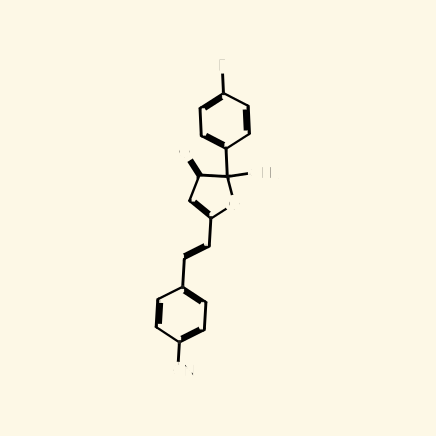 CC1(c2ccc(F)cc2)OC(C=Cc2ccc(C#N)cc2)=CC1=O